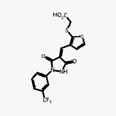 O=C(O)CSc1sccc1C=C1C(=O)NN(c2cccc(C(F)(F)F)c2)C1=O